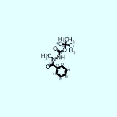 CN(NC(=O)OC(C)(C)C)C(=O)c1ccccc1